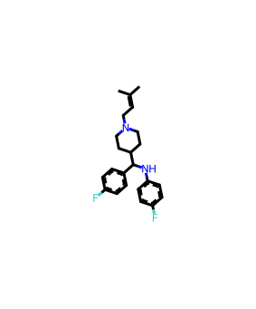 CC(C)=CCN1CCC(C(Nc2ccc(F)cc2)c2ccc(F)cc2)CC1